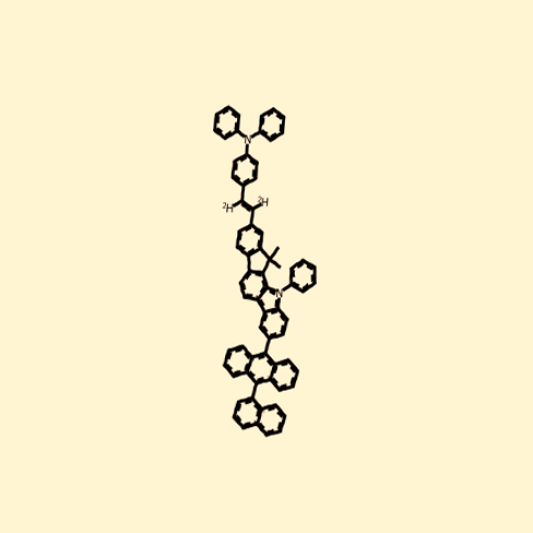 [2H]/C(=C(/[2H])c1ccc2c(c1)C(C)(C)c1c-2ccc2c3cc(-c4c5ccccc5c(-c5cccc6ccccc56)c5ccccc45)ccc3n(-c3ccccc3)c12)c1ccc(N(c2ccccc2)c2ccccc2)cc1